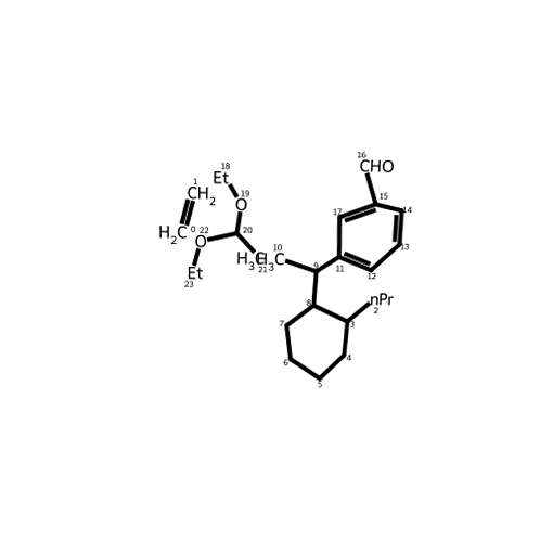 C=C.CCCC1CCCCC1C(C)c1cccc(C=O)c1.CCOC(C)OCC